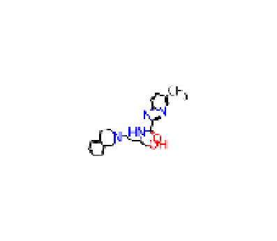 O=C(NC(CO)CCN1CCc2ccccc2C1)c1cn2cc(C(F)(F)F)ccc2n1